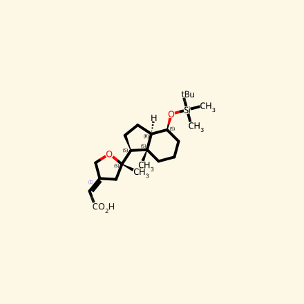 CC(C)(C)[Si](C)(C)O[C@H]1CCC[C@@]2(C)[C@H]1CC[C@@H]2[C@]1(C)C/C(=C\C(=O)O)CO1